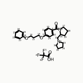 O=C(O)C(F)(F)F.O=C(c1ccc(OCCCOc2ccccc2)cc1)N1CCCC1CN1CCCC1